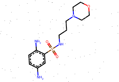 Nc1ccc(N)c(S(=O)(=O)NCCCN2CCOCC2)c1